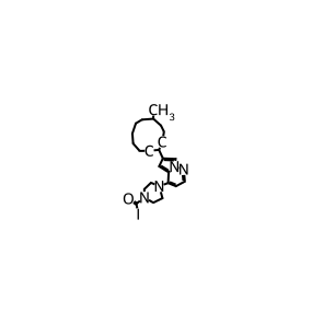 CC1CCCCCCC(c2cc3c(N4CCN(C(=O)I)CC4)ccnn3c2)CCC1